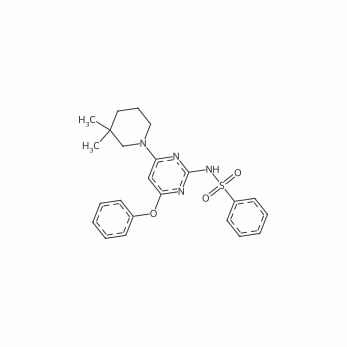 CC1(C)CCCN(c2cc(Oc3ccccc3)nc(NS(=O)(=O)c3ccccc3)n2)C1